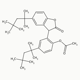 CC(=O)Oc1ccc(C(C)(C)CC(C)(C)C)cc1C1C(=O)Oc2ccc(C(C)(C)CC(C)(C)C)cc21